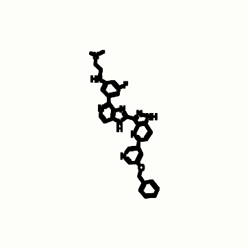 CN(C)CCNc1cc(F)cc(-c2nccc3[nH]c(-c4n[nH]c5ccc(-c6cncc(OCc7ccccc7)c6)nc45)nc23)c1